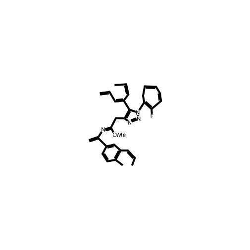 C=C/C=C(\C=C/C)c1c(C/C(=N/C(=C)c2ccc(C)c(/C=C\C)c2)OC)nnn1C1=C(F)C=CC=CC1